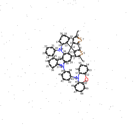 Cc1cc2c(s1)-c1sc(C)cc1C21c2ccccc2N(c2ccccc2)c2c1ccc1c2c2ccccc2n1-c1cccc(N2c3ccccc3Oc3ccccc32)c1